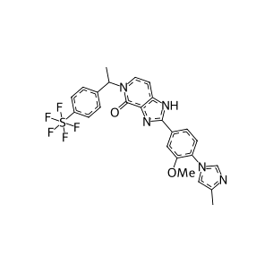 COc1cc(-c2nc3c(=O)n(C(C)c4ccc(S(F)(F)(F)(F)F)cc4)ccc3[nH]2)ccc1-n1cnc(C)c1